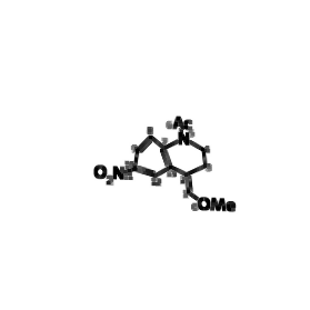 COC=C1CCN(C(C)=O)c2ccc([N+](=O)[O-])cc21